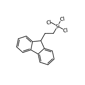 Cl[Si](Cl)(Cl)CCC1c2ccccc2-c2ccccc21